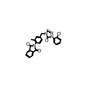 Cc1cc(Cn2nnn(-c3ccccc3Cl)c2=O)ccc1N1C(=O)c2ccccc2C1=O